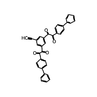 C#Cc1cc(C(=O)C(=O)c2ccc(-c3ccccc3)cc2)cc(C(=O)C(=O)c2ccc(-c3ccccc3)cc2)c1